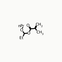 C=C(C)C(=O)OC(CC)OCCC